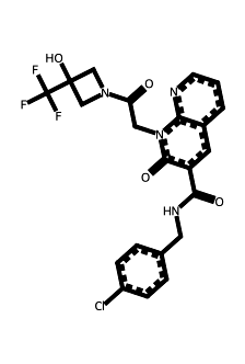 O=C(NCc1ccc(Cl)cc1)c1cc2cccnc2n(CC(=O)N2CC(O)(C(F)(F)F)C2)c1=O